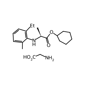 CCc1cccc(C)c1N[C@@H](C)C(=O)OC1CCCCC1.NCC(=O)O